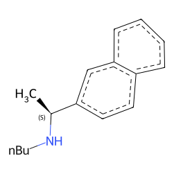 CCCCN[C@@H](C)c1ccc2ccccc2c1